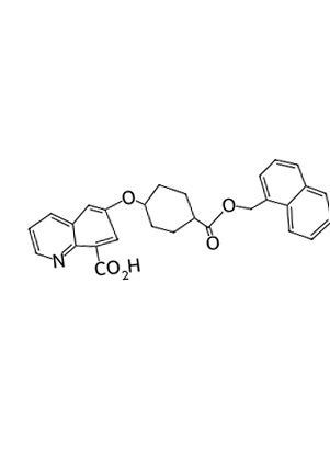 O=C(O)c1cc(OC2CCC(C(=O)OCc3cccc4ccccc34)CC2)cc2cccnc12